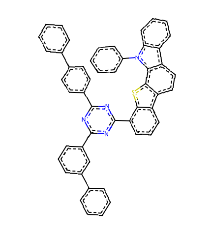 c1ccc(-c2ccc(-c3nc(-c4cccc(-c5ccccc5)c4)nc(-c4cccc5c4sc4c5ccc5c6ccccc6n(-c6ccccc6)c54)n3)cc2)cc1